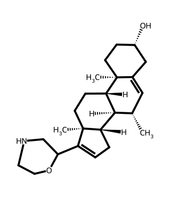 C[C@H]1C=C2C[C@@H](O)CC[C@]2(C)[C@H]2CC[C@]3(C)C(C4CNCCO4)=CC[C@H]3[C@H]12